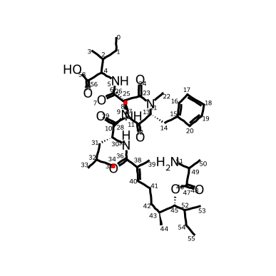 CCC(C)C(NC(=O)CN(C)C(=O)[C@@H](Cc1ccccc1)N(C)C(=O)[C@@H](C)NC(=O)[C@@H](CC(C)C)NC(=O)/C(C)=C/CC[C@H](C)[C@H](OC(=O)C(C)N)C(C)CC)C(=O)O